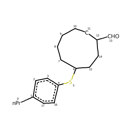 CCCc1ccc(SC2CCCCCC(C=O)CC2)cc1